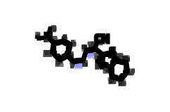 CN(C)c1ccc(/C=C\C=C(\C#N)c2nc3ccccc3s2)cc1